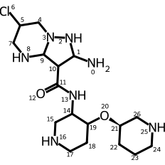 NC1NN2CC(Cl)CNC2C1C(=O)NC1CNCCC1O[C@@H]1CCCNC1